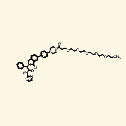 CCCOCCOCCOCCOCCOCCC(=O)N1CCN(c2ccc(-c3ccc4c(c3)C(=O)N(C(C(=O)Nc3nccs3)c3ccccc3)C4)cc2)CC1